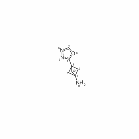 NC12CC(c3nnco3)(C1)C2